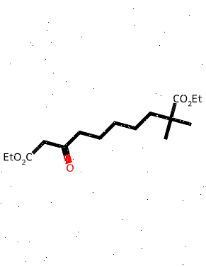 CCOC(=O)CC(=O)CCCCCC(C)(C)C(=O)OCC